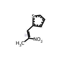 C/C(=C/c1cccs1)[N+](=O)[O-]